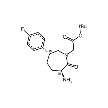 CC(C)(C)OC(=O)CN1C[C@@H](c2ccc(F)cc2)CC[C@H](N)C1=O